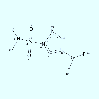 CN(C)S(=O)(=O)n1cc(C(F)F)cn1